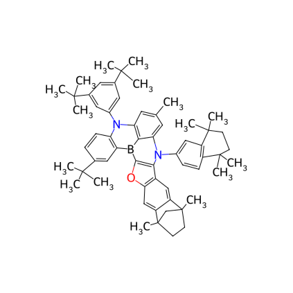 Cc1cc2c3c(c1)N(c1ccc4c(c1)C(C)(C)CCC4(C)C)c1c(oc4cc5c(cc14)C1(C)CCC5(C)C1)B3c1cc(C(C)(C)C)ccc1N2c1cc(C(C)(C)C)cc(C(C)(C)C)c1